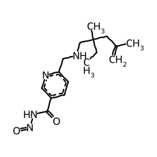 C=C(C)CC(C)(CC)CNCc1ccc(C(=O)NN=O)cn1